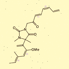 C=C/C=C\C=C\C(=O)CN1C(=O)N(C)C(C)(C(=C)/C(=C\C(C)=C\C)OC)C1=O